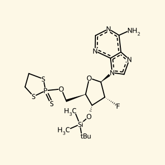 CC(C)(C)[Si](C)(C)O[C@H]1[C@@H](F)[C@H](n2cnc3c(N)ncnc32)O[C@@H]1COP1(=S)SCCS1